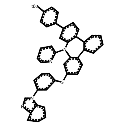 CC(C)(C)c1ccc(-c2ccc3c(c2)N(c2ccccn2)c2cc(Sc4cccc(-n5cnc6ccccc65)c4)ccc2-c2ccccc2-3)cc1